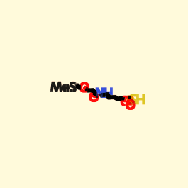 CSCCOCCC(=O)NCCCCCCOP(C)(=O)S